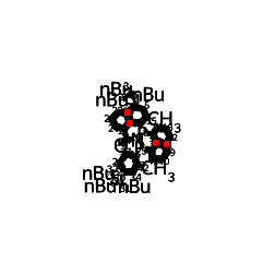 CCCC[Si](CCCC)(CCCC)c1ccc(P(c2ccccc2C)N(C(=O)c2ccccc2)P(c2ccc([Si](CCCC)(CCCC)CCCC)cc2)c2ccccc2C)cc1